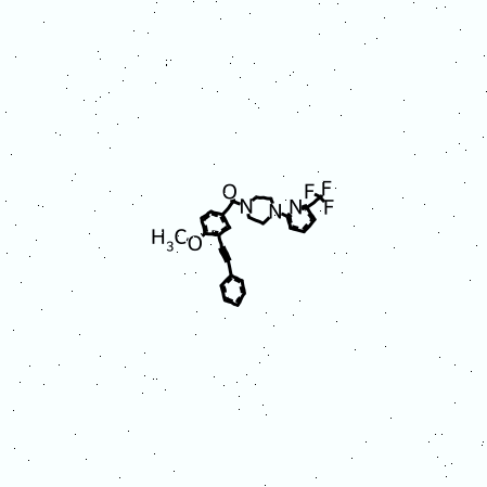 COc1ccc(C(=O)N2CCN(c3cccc(C(F)(F)F)n3)CC2)cc1C#Cc1ccccc1